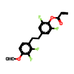 C=CC(=O)Oc1c(F)cc(CCc2ccc(OC=O)c(F)c2F)cc1F